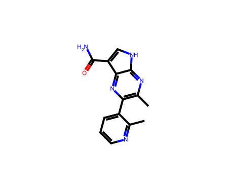 Cc1ncccc1-c1nc2c(C(N)=O)c[nH]c2nc1C